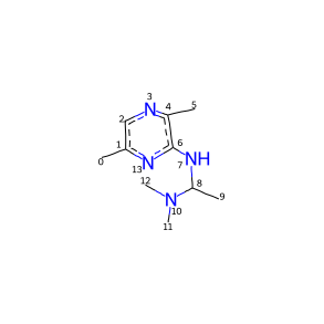 Cc1cnc(C)c(NC(C)N(C)C)n1